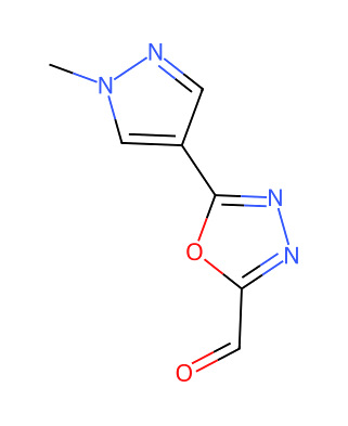 Cn1cc(-c2nnc(C=O)o2)cn1